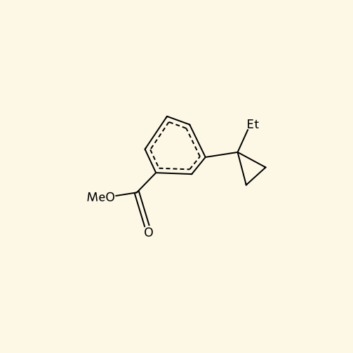 CCC1(c2cccc(C(=O)OC)c2)CC1